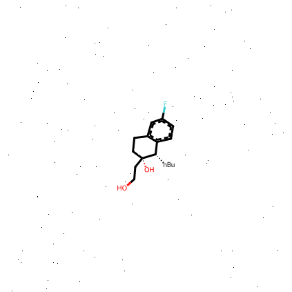 CCCC[C@H]1c2ccc(F)cc2CC[C@]1(O)CCO